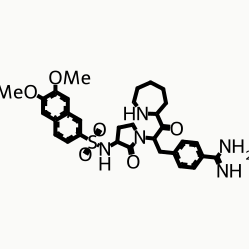 COc1cc2ccc(S(=O)(=O)NC3CCN(C(Cc4ccc(C(=N)N)cc4)C(=O)C4CCCCCN4)C3=O)cc2cc1OC